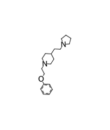 c1ccc(OCCN2CCC(CCN3CCCC3)CC2)cc1